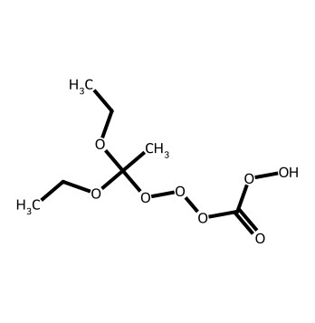 CCOC(C)(OCC)OOOC(=O)OO